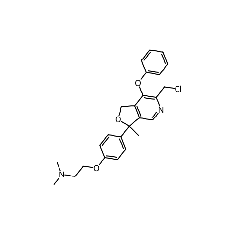 CN(C)CCOc1ccc(C2(C)OCc3c2cnc(CCl)c3Oc2ccccc2)cc1